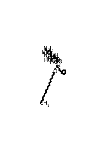 CCCCCCCCCCCCCCCCCCOC[C@H](COP(=O)(O)OC1[C@H]2O[C@@](C#N)(c3ccc4c(N)ncnn34)[C@H](O)[C@@]12O)SCc1ccccc1